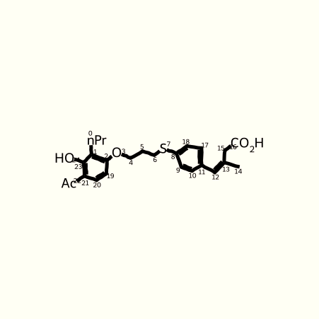 CCCc1c(OCCCSc2ccc(/C=C(/C)CC(=O)O)cc2)ccc(C(C)=O)c1O